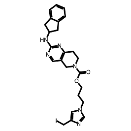 O=C(OCCCn1cnc(CI)c1)N1CCc2nc(NC3Cc4ccccc4C3)ncc2C1